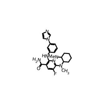 CNC1CCCCC1N(C)c1nc(Nc2cccc(-n3ccnc3)c2)c(C(N)=O)cc1F